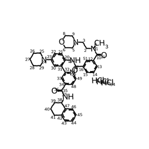 CN(CCN1CCOCC1)C(=O)c1cccc(C(=O)Nc2ccc(N3CCCCC3)cc2-c2cc(C(=O)NC3CCCc4ccccc43)ccn2)c1.Cl.Cl.Cl